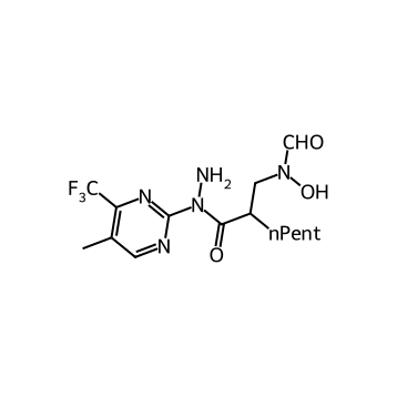 CCCCCC(CN(O)C=O)C(=O)N(N)c1ncc(C)c(C(F)(F)F)n1